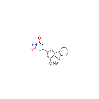 COc1cc(C2CC(=O)NC(=O)C2)cc2c3c(oc12)CCCC3